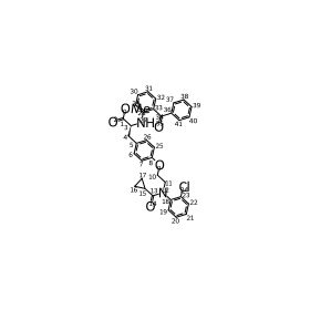 COC(=O)[C@H](Cc1ccc(OCCN(C(=O)C2CC2)c2ccccc2Cl)cc1)Nc1ccccc1C(=O)c1ccccc1